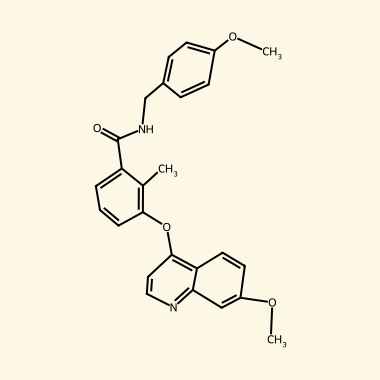 COc1ccc(CNC(=O)c2cccc(Oc3ccnc4cc(OC)ccc34)c2C)cc1